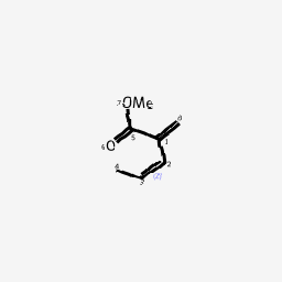 C=C(/C=C\C)C(=O)OC